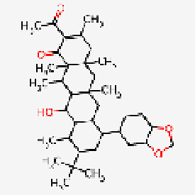 CC(=O)C1=C(C)CC2(C)CC3(C)CC4C(C5CCC6OCOC6C5)CC(C(C)(C)C)C(C)C4C(O)C3C(C)C2(C)C1=O